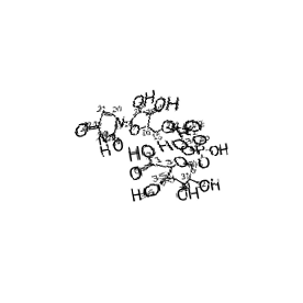 O=C(O)C1O[C@H](OP(=O)(O)OP(=O)(O)OCC2OC(n3ccc(=O)[nH]c3=O)C(O)C2O)C(O)[C@@H](O)[C@H]1O